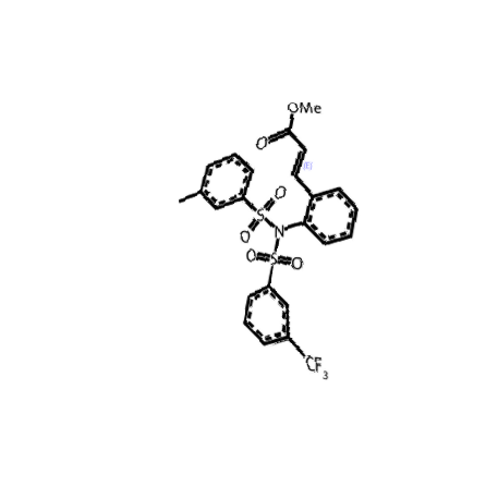 COC(=O)/C=C/c1ccccc1N(S(=O)(=O)c1cccc(C)c1)S(=O)(=O)c1cccc(C(F)(F)F)c1